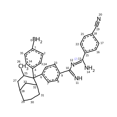 Bc1ccc(C2(c3ccc(C(=N)/N=C(\N)c4ccc(C#N)cc4)cc3)C(C)CC3CCCC2C3)cc1